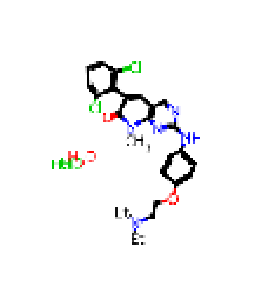 CCN(CC)CCOc1ccc(Nc2ncc3cc(-c4c(Cl)cccc4Cl)c(=O)n(C)c3n2)cc1.Cl.Cl.O